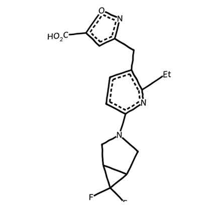 CCc1nc(N2CC3C(C2)C3(F)F)ccc1Cc1cc(C(=O)O)on1